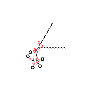 CCCCCCCCCCCCCCCCCC(=O)OC[C@H](COP(=O)(OCCCOC1OC(COCc2ccccc2)C(OCc2ccccc2)C(OCc2ccccc2)C1OCc1ccccc1)OCc1ccccc1)OC(=O)CCCCCCCCCCCCCCCCC